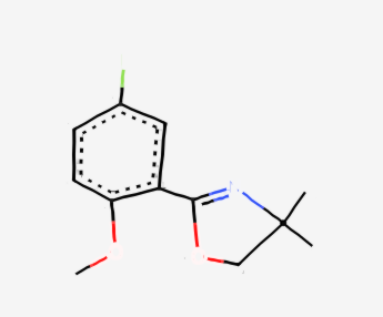 COc1ccc(F)cc1C1=NC(C)(C)CO1